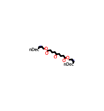 CCCCCCCCCC/C=C\COC(=O)CCCC(=O)CCCC(=O)OC/C=C\CCCCCCCCCC